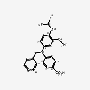 CC(C)Oc1cc(N(Cc2cccnc2)c2ccc(C(=O)O)cc2)ccc1OC(F)F